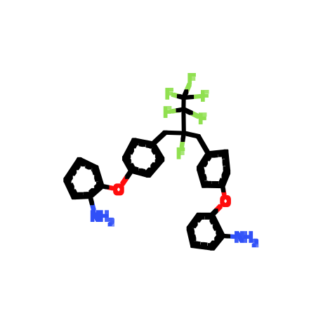 Nc1ccccc1Oc1ccc(CC(F)(Cc2ccc(Oc3ccccc3N)cc2)C(F)(F)C(F)(F)F)cc1